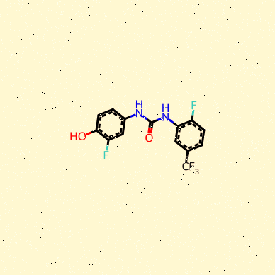 O=C(Nc1ccc(O)c(F)c1)Nc1cc(C(F)(F)F)ccc1F